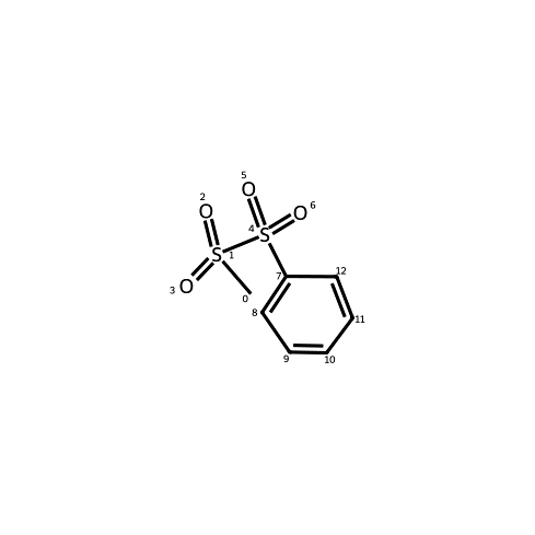 CS(=O)(=O)S(=O)(=O)c1ccccc1